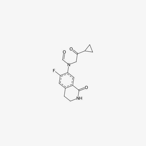 O=CN(CC(=O)C1CC1)c1cc2c(cc1F)CCNC2=O